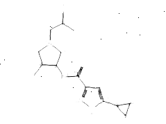 CCOC(=O)C(C)CN1CC(C)C(NC(=O)c2cc(C3CC3)on2)C1